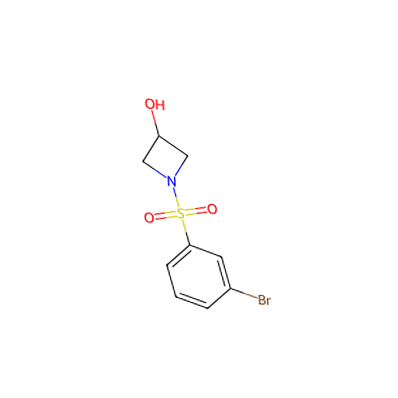 O=S(=O)(c1cccc(Br)c1)N1CC(O)C1